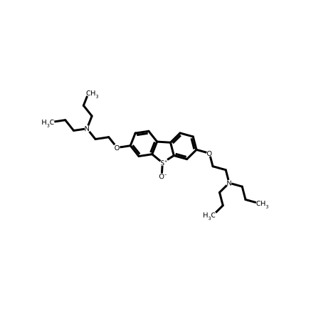 CCCN(CCC)CCOc1ccc2c3ccc(OCCN(CCC)CCC)cc3[s+]([O-])c2c1